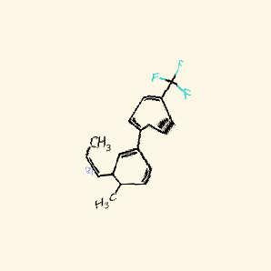 C/C=C\C1C=C(c2ccc(C(F)(F)F)cc2)C=CC1C